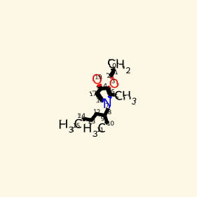 C=CCOc1c(C)n(CC(CC)CCCC)ccc1=O